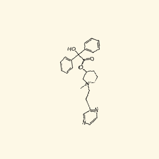 C[N+]1(CCc2cnccn2)CCCC(OC(=O)C(O)(c2ccccc2)c2ccccc2)C1